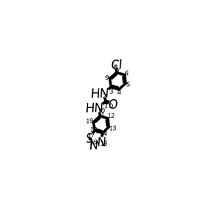 O=C(Nc1cccc(Cl)c1)Nc1ccc2nnsc2c1